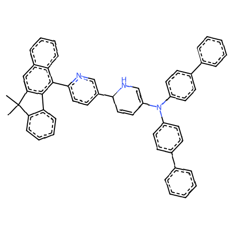 CC1(C)c2ccccc2-c2c1cc1ccccc1c2-c1ccc(C2C=CC(N(c3ccc(-c4ccccc4)cc3)c3ccc(-c4ccccc4)cc3)=CN2)cn1